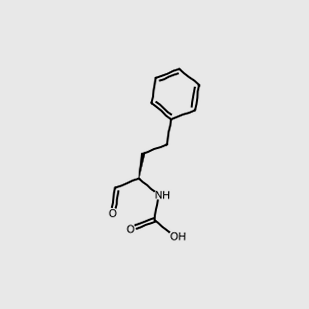 O=C[C@@H](CCc1ccccc1)NC(=O)O